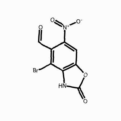 O=Cc1c([N+](=O)[O-])cc2oc(=O)[nH]c2c1Br